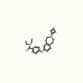 CCN(CC)C(=O)c1ccc(Oc2ccc3c(c2)CCN(C2=CC=C2)CC3)cc1